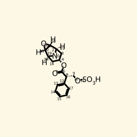 CN1[C@@H]2C[C@@H](OC(=O)[C@H](COS(=O)(=O)O)c3ccccc3)C[C@H]1[C@@H]1O[C@@H]12